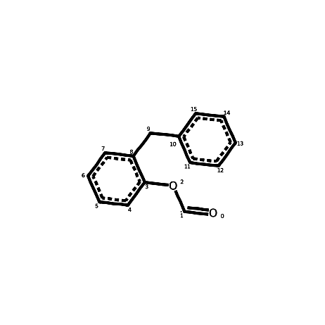 O=[C]Oc1ccccc1Cc1ccccc1